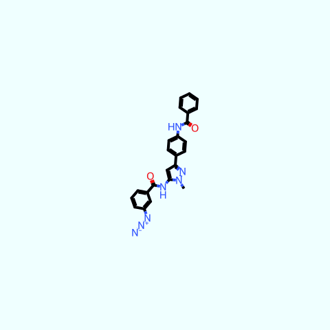 Cn1nc(-c2ccc(NC(=O)c3ccccc3)cc2)cc1NC(=O)c1cccc(N=[N+]=[N-])c1